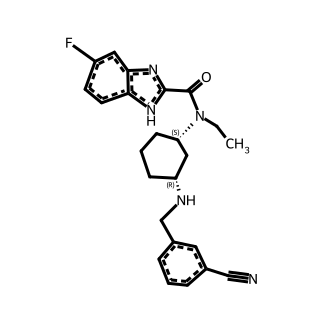 CCN(C(=O)c1nc2cc(F)ccc2[nH]1)[C@H]1CCC[C@@H](NCc2cccc(C#N)c2)C1